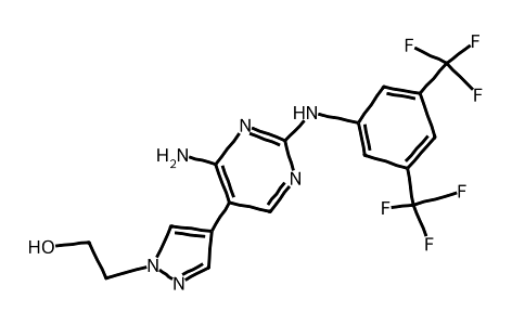 Nc1nc(Nc2cc(C(F)(F)F)cc(C(F)(F)F)c2)ncc1-c1cnn(CCO)c1